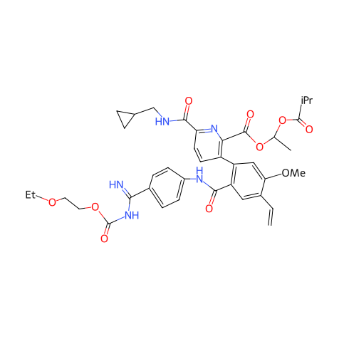 C=Cc1cc(C(=O)Nc2ccc(C(=N)NC(=O)OCCOCC)cc2)c(-c2ccc(C(=O)NCC3CC3)nc2C(=O)OC(C)OC(=O)C(C)C)cc1OC